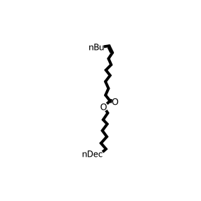 CCCC/C=C\CCCCCCCC(=O)OCCCCCCCCCCCCCCCCC